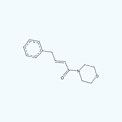 O=C(C=CCc1ccccc1)N1CCOCC1